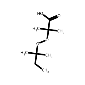 CCC(C)(C)OOC(C)(C)C(=O)O